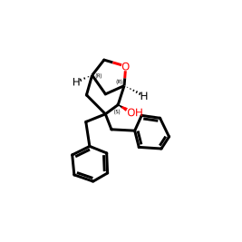 O[C@@H]1[C@H]2C[C@H](CO2)CC1(Cc1ccccc1)Cc1ccccc1